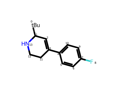 CC(C)(C)C1C=C(c2ccc(F)cc2)CCN1